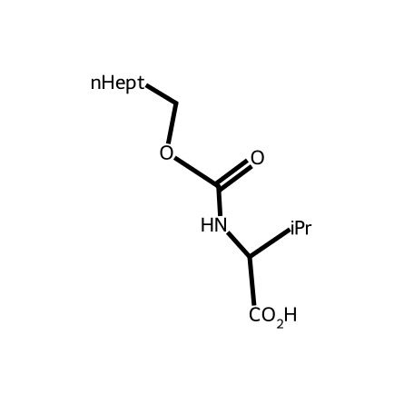 CCCCCCCCOC(=O)NC(C(=O)O)C(C)C